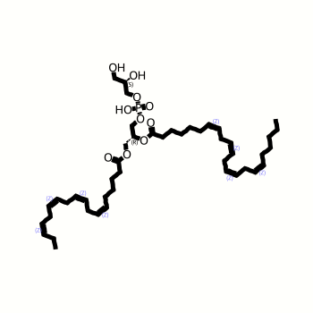 CC/C=C\C/C=C\C/C=C\C/C=C\CCCCC(=O)OC[C@H](COP(=O)(O)OC[C@@H](O)CO)OC(=O)CCCCC/C=C\C/C=C\C/C=C\C/C=C\CCCCC